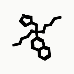 CCCCSC(Cn1ccnc1)(SCCCC)c1ccc2ccccc2c1